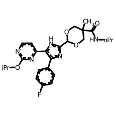 CCCNC(=O)C1(C)COC(c2nc(-c3ccc(F)cc3)c(-c3ccnc(OC(C)C)n3)[nH]2)OC1